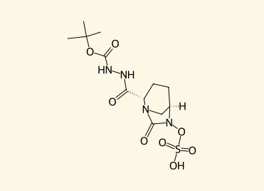 CC(C)(C)OC(=O)NNC(=O)[C@@H]1CC[C@@H]2CN1C(=O)N2OS(=O)(=O)O